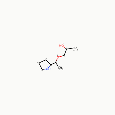 CC(O)COC(C)C1CCCN1